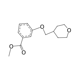 COC(=O)c1cccc(OCC2CCOCC2)c1